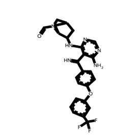 N=C(c1ccc(Oc2cccc(C(F)(F)F)c2)cc1)c1c(N)ncnc1NC1CC2CC1N(C=O)C2